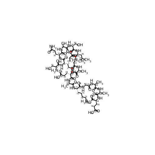 CSCC[C@H](NC(=O)[C@@H](N)CO)C(=O)N[C@@H](CCC(N)=O)C(=O)N[C@@H](C)C(=O)N[C@@H](CO)C(=O)N[C@@H](CC(C)C)C(=O)N[C@@H](CCC(=O)O)C(=O)N[C@@H](C)C(=O)N[C@@H](CCC(=O)O)C(=O)N[C@@H](C)C(=O)N[C@@H](CCCCN)C(=O)NCC(=O)N[C@@H](C)C(=O)N[C@@H](C)C(=O)N[C@@H](CCC(=O)O)C(=O)O